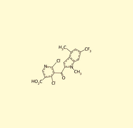 Cc1cc(C(F)(F)F)cc2c1cc(C(=O)c1c(Cl)ncc(C(=O)O)c1Cl)n2C